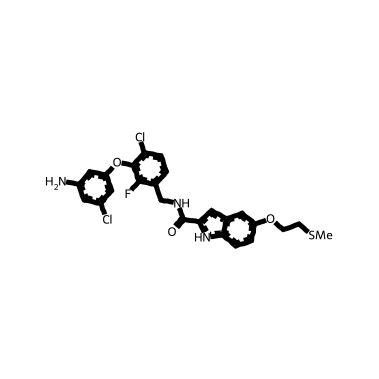 CSCCOc1ccc2[nH]c(C(=O)NCc3ccc(Cl)c(Oc4cc(N)cc(Cl)c4)c3F)cc2c1